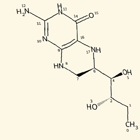 CC[C@H](O)[C@H](O)[C@H]1CNc2nc(N)[nH]c(=O)c2N1